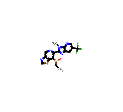 CC[S+]([O-])c1c(-c2nc3cc(C(F)(F)F)cnc3n2C)ncc2ncsc12